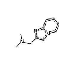 CN(C)Cc1cn2ccccc2n1